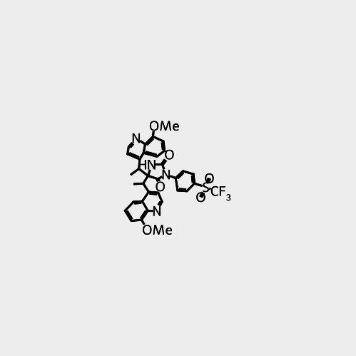 COc1cccc2c(C(C)C3(C(C)c4ccnc5c(OC)cccc45)NC(=O)N(c4ccc(S(=O)(=O)C(F)(F)F)cc4)C3=O)ccnc12